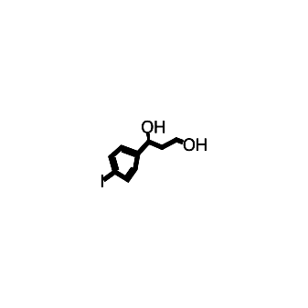 OCC[C@H](O)c1ccc(I)cc1